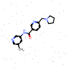 Cc1cncc(NC(=O)c2ccc(CN3CCCC3)nc2)c1